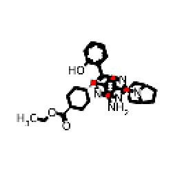 CCOC(=O)[C@H]1CC[C@H](Cc2cnc(N3C4CCC3CN(c3cc(-c5ccccc5O)nnc3N)C4)nc2)CC1